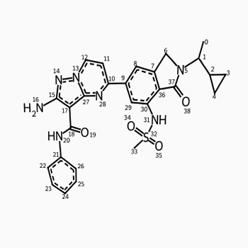 CC(C1CC1)N1Cc2cc(-c3ccn4nc(N)c(C(=O)Nc5ccccc5)c4n3)cc(NS(C)(=O)=O)c2C1=O